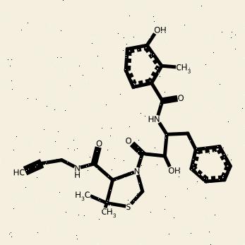 C#CCNC(=O)C1N(C(=O)C(O)C(Cc2ccccc2)NC(=O)c2cccc(O)c2C)CSC1(C)C